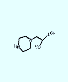 CC(C)(C)C(O)CN1CCNCC1